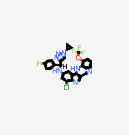 [2H]C(Nc1cc(Cl)c2ncc(C#N)c(Nc3ccccc3OC(F)(F)F)c2c1)(c1ccc(F)cc1)c1cn(C2CC2)nn1